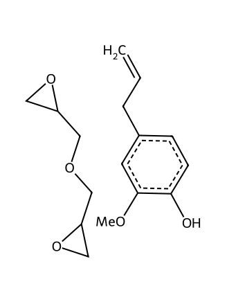 C(OCC1CO1)C1CO1.C=CCc1ccc(O)c(OC)c1